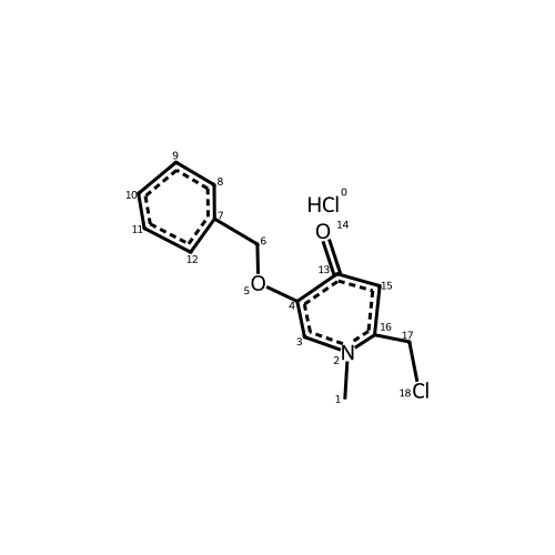 Cl.Cn1cc(OCc2ccccc2)c(=O)cc1CCl